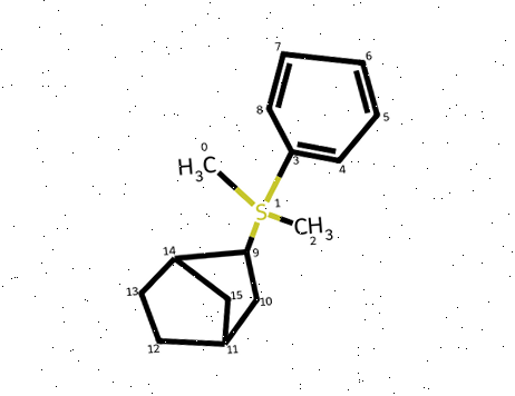 CS(C)(c1ccccc1)C1CC2CCC1C2